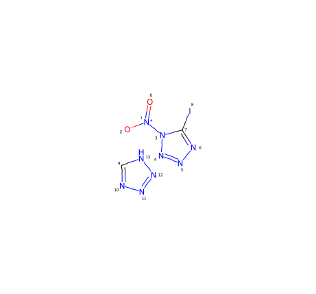 O=[N+]([O-])n1nnnc1I.c1nnn[nH]1